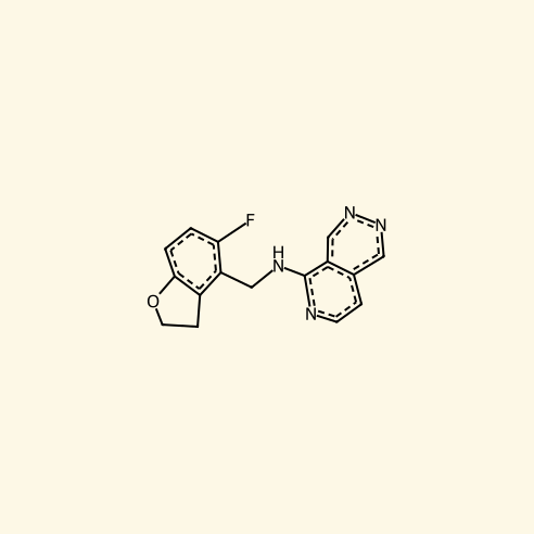 Fc1ccc2c(c1CNc1nccc3cnncc13)CCO2